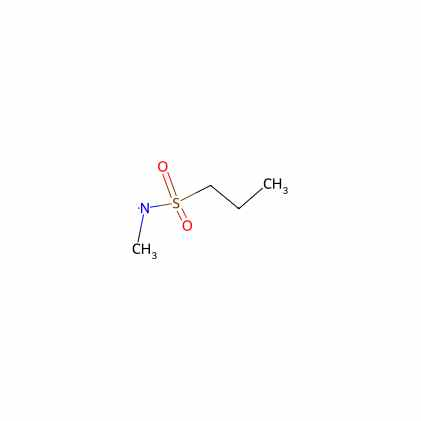 CCCS(=O)(=O)[N]C